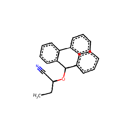 CCC(C#N)OC(c1ccccc1)c1ccccc1-c1ccccc1